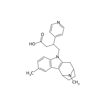 Cc1ccc2c(c1)c1c(n2CC(CC(=O)O)c2ccncc2)CC2CCC1N2C